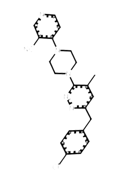 Cc1cc(Cc2ccc(Cl)cc2)nnc1N1CCN(c2ccncc2C#N)CC1